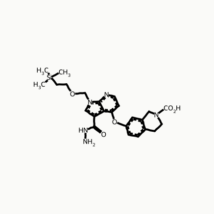 C[Si](C)(C)CCOCn1cc(C(=O)NN)c2c(Oc3ccc4c(c3)CN(C(=O)O)CC4)ccnc21